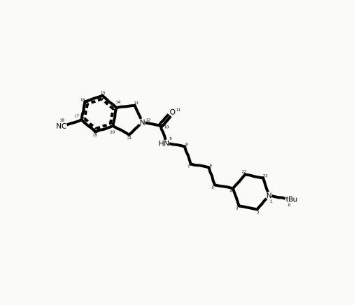 CC(C)(C)N1CCC(CCCCNC(=O)N2Cc3ccc(C#N)cc3C2)CC1